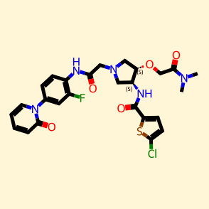 CN(C)C(=O)CO[C@H]1CN(CC(=O)Nc2ccc(-n3ccccc3=O)cc2F)C[C@@H]1NC(=O)c1ccc(Cl)s1